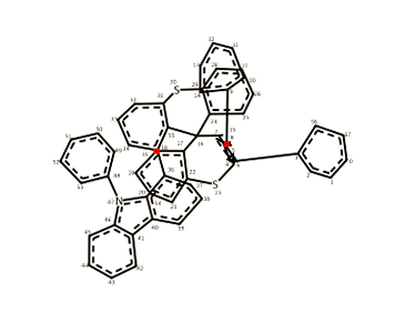 c1ccc(-c2cc3c(c(-c4ccccc4)c2)C2(c4ccccc4S3)c3ccccc3Sc3cccc(-c4cccc5c6ccccc6n(-c6ccccc6)c45)c32)cc1